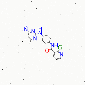 Cc1cc(N(C)C)nc(NC2CCC(NC(=O)c3cccnc3Cl)CC2)n1